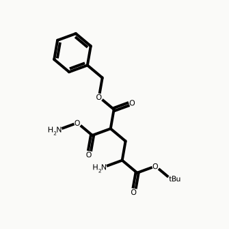 CC(C)(C)OC(=O)C(N)CC(C(=O)ON)C(=O)OCc1ccccc1